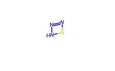 n1ns[nH]1